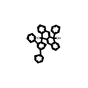 OC1(c2ccccc2)C2=Cc3ccccc3C(O)(c3ccc(-c4ccccc4)cc3-c3ccccc3)C2=Cc2ccccc21